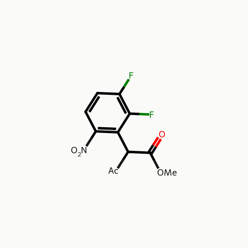 COC(=O)C(C(C)=O)c1c([N+](=O)[O-])ccc(F)c1F